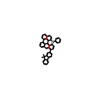 CC1(C)c2ccccc2-c2ccc(-c3ccc(N(c4ccccc4)c4ccccc4-c4cccc5cccc(-c6ccccc6)c45)cc3)cc21